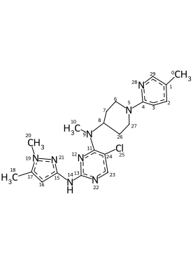 Cc1ccc(N2CCC(N(C)c3nc(Nc4cc(C)n(C)n4)ncc3Cl)CC2)nc1